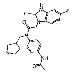 CC(=O)Nc1ccc(N(CC2CCSC2)C(=O)CN2c3ccc(F)cc3NC2Cl)cc1